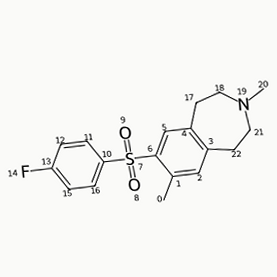 Cc1cc2c(cc1S(=O)(=O)c1ccc(F)cc1)CCN(C)CC2